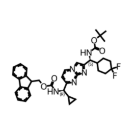 CC(C)(C)OC(=O)N[C@H](c1cn2ccc([C@H](NC(=O)OCC3c4ccccc4-c4ccccc43)C3CC3)nc2n1)C1CCC(F)(F)CC1